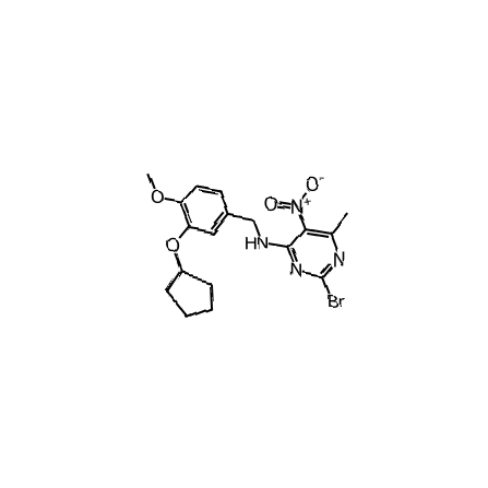 COc1ccc(CNc2nc(Br)nc(C)c2[N+](=O)[O-])cc1OC1CCCC1